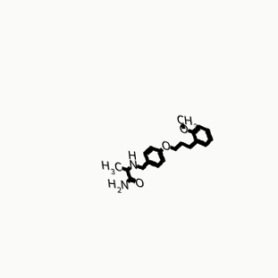 COc1ccccc1CCCOc1ccc(CNC(C)C(N)=O)cc1